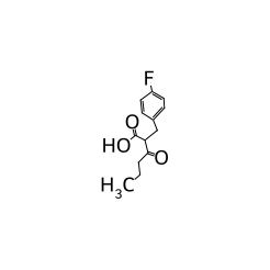 CCCC(=O)C(Cc1ccc(F)cc1)C(=O)O